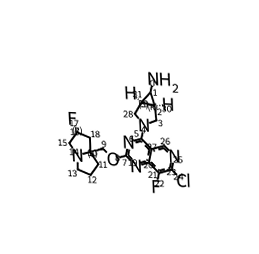 NC1[C@H]2CN(c3nc(OC[C@@]45CCCN4C[C@H](F)C5)nc4c(F)c(Cl)ncc34)C[C@@H]12